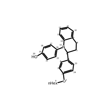 CCCCCCOc1ccc(C2CCc3ccccc3N2c2ccc(O)cc2)cc1